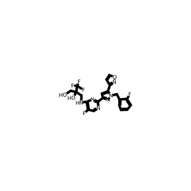 OCC(O)(CNc1nc(-c2cc(-c3ccon3)n(Cc3ccccc3F)n2)ncc1F)C(F)(F)F